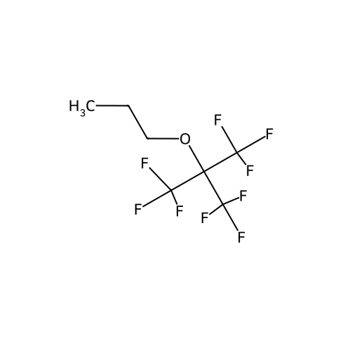 CCCOC(C(F)(F)F)(C(F)(F)F)C(F)(F)F